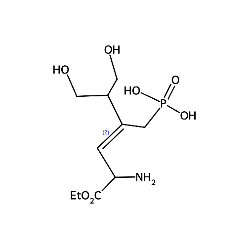 CCOC(=O)C(N)/C=C(\CP(=O)(O)O)C(CO)CO